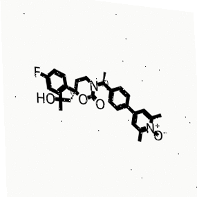 Cc1cc(-c2ccc([C@H](C)N3CC[C@](CC(C)(C)O)(c4ccc(F)cc4)OC3=O)cc2)cc(C)[n+]1[O-]